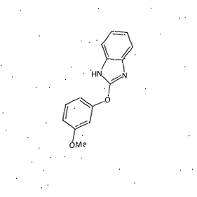 COc1cccc(Oc2nc3ccccc3[nH]2)c1